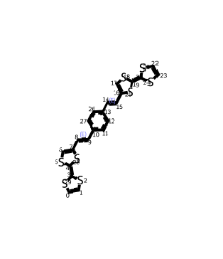 C1=CSC(=C2SC=C(/C=C/c3ccc(/C=C/C4=CSC(=C5SC=CS5)S4)cc3)S2)S1